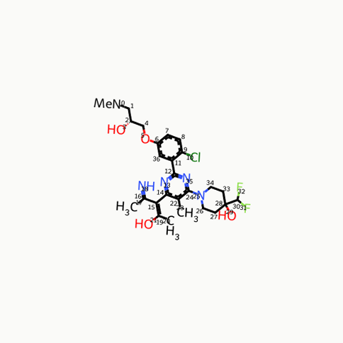 CNC[C@@H](O)COc1ccc(Cl)c(-c2nc(/C(C(C)=N)=C(\C)O)c(C)c(N3CCC(O)(C(F)F)CC3)n2)c1